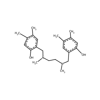 Cc1cc(O)c(CN(C)CCN(C)Cc2cc(C)c(C)cc2O)cc1C